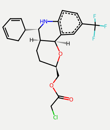 O=C(CCl)OC[C@H]1CC[C@@H]2[C@H](O1)c1cc(C(F)(F)F)ccc1N[C@H]2C1C=CC=CC1